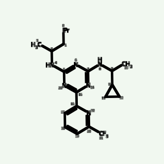 CC(C)CC(C)Nc1nc(NC(C)C2CC2)nc(-c2cccc(C(F)(F)F)n2)n1